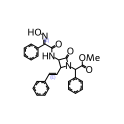 COC(=O)C(c1ccccc1)N1C(=O)C(NC(=O)/C(=N/O)c2ccccc2)C1/C=C/c1ccccc1